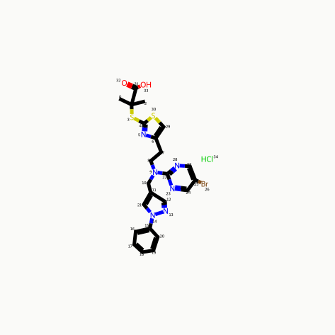 CC(C)(Sc1nc(CCN(Cc2cnn(-c3ccccc3)c2)c2ncc(Br)cn2)cs1)C(=O)O.Cl